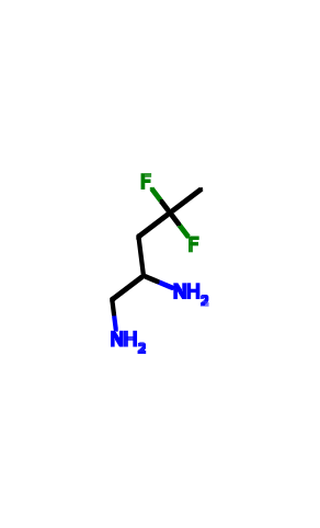 CC(F)(F)CC(N)CN